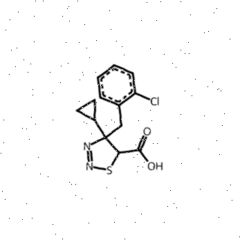 O=C(O)C1SN=NC1(Cc1ccccc1Cl)C1CC1